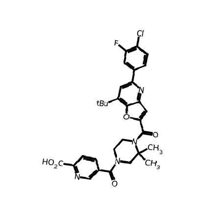 CC(C)(C)c1cc(-c2ccc(Cl)c(F)c2)nc2cc(C(=O)N3CCN(C(=O)c4ccc(C(=O)O)nc4)CC3(C)C)oc12